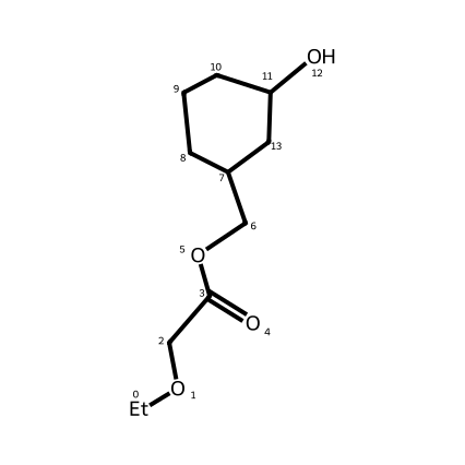 CCOCC(=O)OCC1CCCC(O)C1